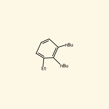 C[CH]c1cccc(CCCC)c1CCCC